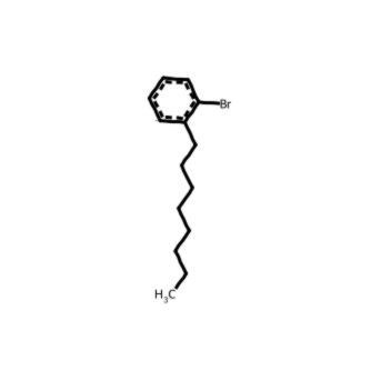 CCCCCCCCc1[c]cccc1Br